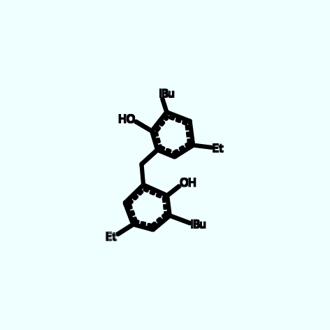 CCc1cc(Cc2cc(CC)cc(C(C)CC)c2O)c(O)c(C(C)CC)c1